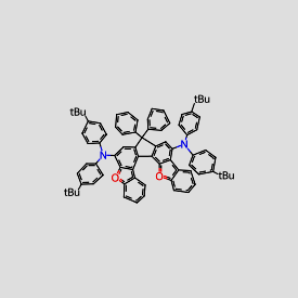 CC(C)(C)c1ccc(N(c2ccc(C(C)(C)C)cc2)c2cc3c(c4c2oc2ccccc24)-c2c(cc(N(c4ccc(C(C)(C)C)cc4)c4ccc(C(C)(C)C)cc4)c4c2oc2ccccc24)C3(c2ccccc2)c2ccccc2)cc1